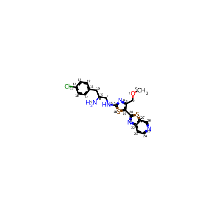 COCc1nc(NC[C@@H](N)Cc2ccc(Cl)cc2)sc1-c1nc2ccncc2s1